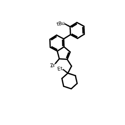 CCC1(CC2=Cc3c(-c4ccccc4C(C)(C)C)cccc3[CH]2[Zr])CCCCC1